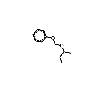 CCC(C)OCOc1ccccc1